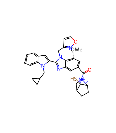 COc1cc(C(=O)N2CC3CCC2[C@]3(N)S)cc2nc(-c3cc4ccccc4n3CC3CC3)n(Cc3ccon3)c12